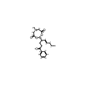 CCCC=CC(CCC(=O)c1ccccc1)B1OC(=O)CN(C)CC(=O)O1